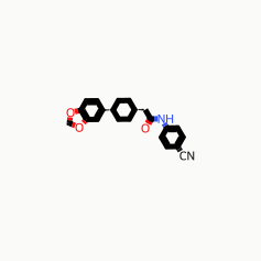 N#Cc1ccc(NC(=O)C[C@H]2CC[C@@H](c3ccc4c(c3)OCO4)CC2)cc1